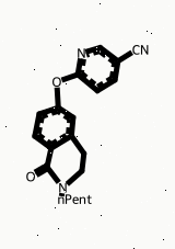 CCCCCN1CCc2cc(Oc3ccc(C#N)cn3)ccc2C1=O